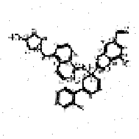 Cc1ccccc1C1=CC=CC(Nc2nccc3c(CN4CCC(O)C4)ccnc23)(c2nc3cc(C=O)cc(Cl)c3o2)[C@H]1C